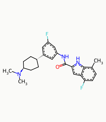 Cc1ccc(F)c2cc(C(=O)Nc3cc(F)cc([C@H]4CC[C@H](N(C)C)CC4)c3)[nH]c12